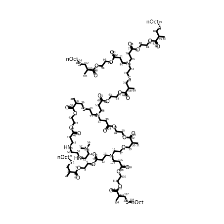 CCCCCCCCSCC(C)C(=O)OCCOC(=O)CCN(CCOCC(C)C(=O)OCCOC(=O)CCN(CCSCC(C)C(=O)OCCOC(=O)CCNCCNCCN(C)C)CCC(=O)OCCOC(=O)C(C)CSCCN(CCC(=O)OCCOC(=O)C(C)CSCCCCCCCC)CCC(=O)OCCOC(=O)C(C)CSCCCCCCCC)CCC(=O)OCCOC(=O)C(C)CSCCCCCCCC